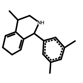 Cc1cc(C)cc(C2NCC(C)C3=CCCC=C32)c1